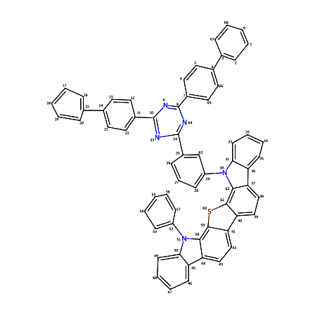 c1ccc(-c2ccc(-c3nc(-c4ccc(-c5ccccc5)cc4)nc(-c4cccc(-n5c6ccccc6c6ccc7c8ccc9c%10ccccc%10n(-c%10ccccc%10)c9c8sc7c65)c4)n3)cc2)cc1